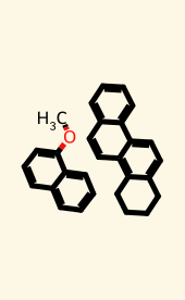 COc1cccc2ccccc12.c1ccc2c(c1)ccc1c3c(ccc12)CCCC3